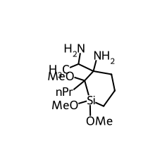 CCCC1(OC)C(N)(C(C)N)CCC[Si]1(OC)OC